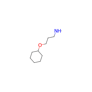 [NH]CCCOC1CCCCC1